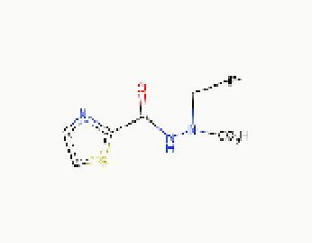 CC(C)CN(NC(=O)c1nccs1)C(=O)O